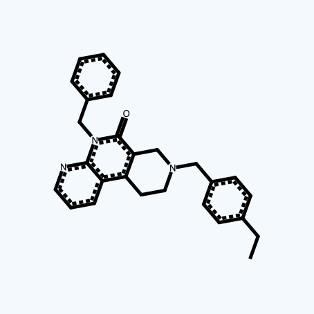 CCc1ccc(CN2CCc3c(c(=O)n(Cc4ccccc4)c4ncccc34)C2)cc1